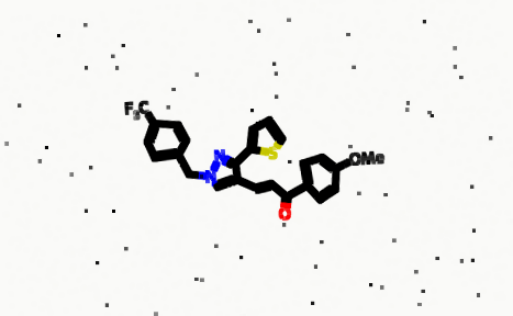 COc1ccc(C(=O)C=Cc2cn(Cc3ccc(C(F)(F)F)cc3)nc2-c2cccs2)cc1